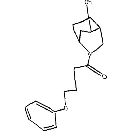 O=C(CCCOc1ccccc1)N1CC2CCC1CC2O